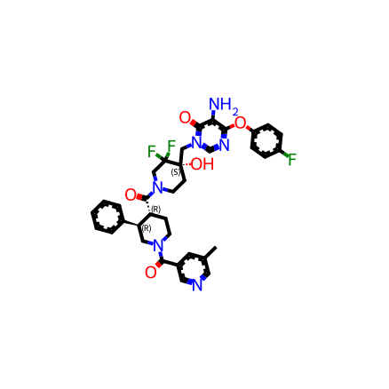 Cc1cncc(C(=O)N2CC[C@@H](C(=O)N3CC[C@](O)(Cn4cnc(Oc5ccc(F)cc5)c(N)c4=O)C(F)(F)C3)[C@H](c3ccccc3)C2)c1